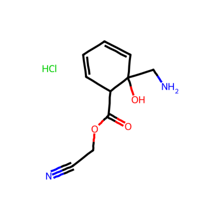 Cl.N#CCOC(=O)C1C=CC=CC1(O)CN